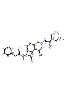 CCN(CC)/[N+]([O-])=N/OCC1=C(C(=O)O)N2C(=O)C(NC(=O)Cc3ccccc3)C2SC1